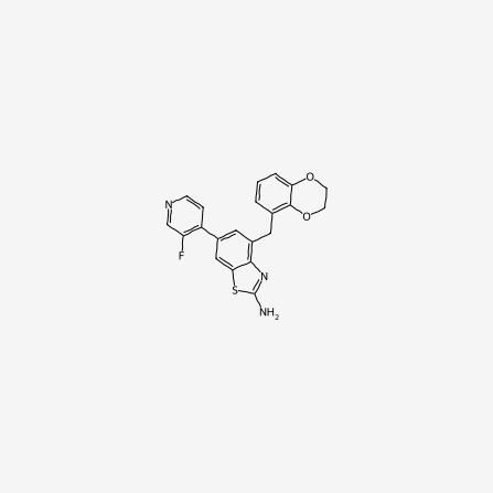 Nc1nc2c(Cc3cccc4c3OCCO4)cc(-c3ccncc3F)cc2s1